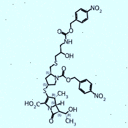 C[C@@H](O)[C@H]1C(=O)N2C(C(=O)O)=C(S[C@H]3C[C@@H](CSCC(O)CNC(=O)OCc4ccc([N+](=O)[O-])cc4)N(C(=O)OCc4ccc([N+](=O)[O-])cc4)C3)[C@H](C)[C@H]12